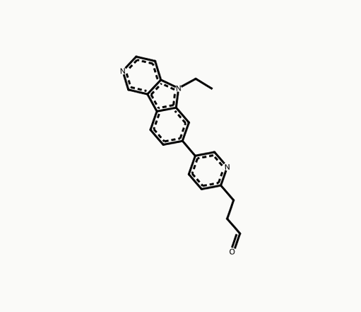 CCn1c2ccncc2c2ccc(-c3ccc(CCC=O)nc3)cc21